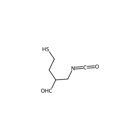 O=C=NCC(C=O)CCS